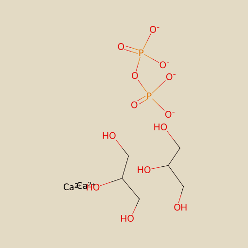 O=P([O-])([O-])OP(=O)([O-])[O-].OCC(O)CO.OCC(O)CO.[Ca+2].[Ca+2]